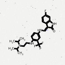 CC(C)N(CCNc1ccc(N/C=C2/C(=O)Nc3cc(F)ccc32)cc1C(F)(F)F)C(C)C